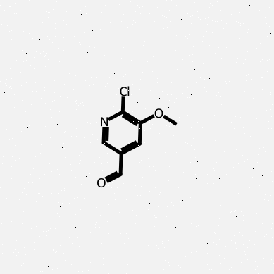 COc1cc(C=O)cnc1Cl